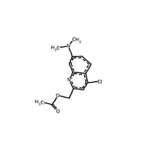 CC(=O)OCc1cc(Cl)c2ccc(N(C)C)cc2n1